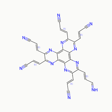 N#C/C=C/c1nc2c3nc(/C=C/C#N)c(/C=C/C#N)nc3c3nc(/C=C/C=N)c(/C=C/C#N)nc3c2nc1/C=C/C#N